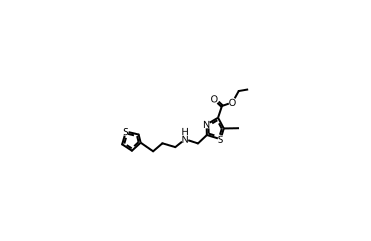 CCOC(=O)c1nc(CNCCCc2ccsc2)sc1C